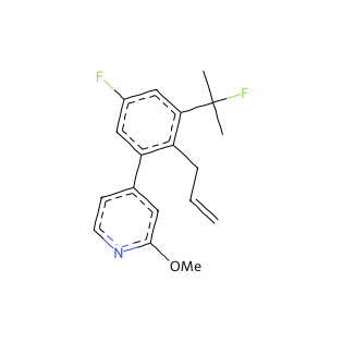 C=CCc1c(-c2ccnc(OC)c2)cc(F)cc1C(C)(C)F